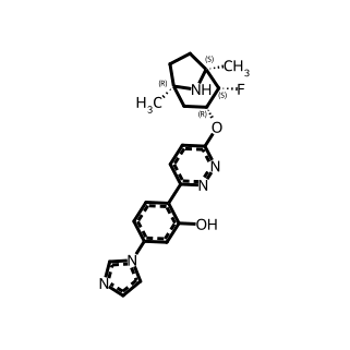 C[C@]12CC[C@](C)(N1)[C@H](F)[C@H](Oc1ccc(-c3ccc(-n4ccnc4)cc3O)nn1)C2